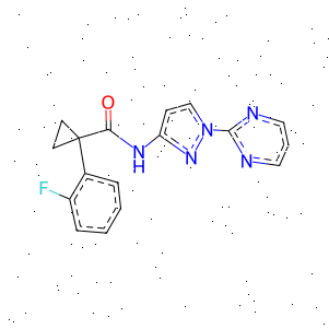 O=C(Nc1ccn(-c2ncccn2)n1)C1(c2ccccc2F)CC1